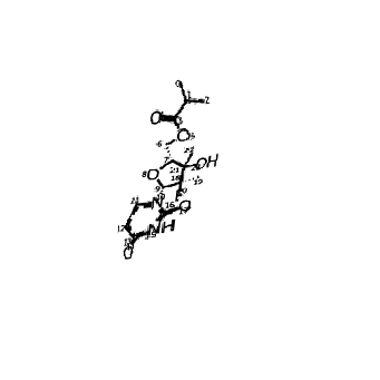 CC(C)C(=O)OC[C@H]1O[C@@H](n2ccc(=O)[nH]c2=O)[C@](C)(F)[C@@]1(C)O